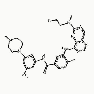 Cc1ccc(C(=O)Nc2cc(N3CCN(C)CC3)cc(C(F)(F)F)c2)cc1Nc1ncnc2cnc(N(C)CCF)nc12